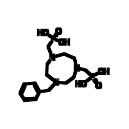 O=P(O)(O)CN1CCN(Cc2ccccc2)CCN(CP(=O)(O)O)CC1